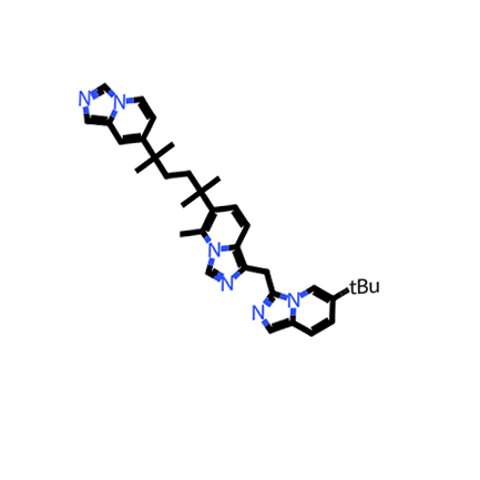 Cc1c(C(C)(C)CCC(C)(C)c2ccn3cncc3c2)ccc2c(Cc3ncc4ccc(C(C)(C)C)cn34)ncn12